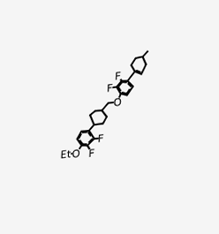 CCOc1ccc(C2CCC(COc3ccc(C4=CCC(C)CC4)c(F)c3F)CC2)c(F)c1F